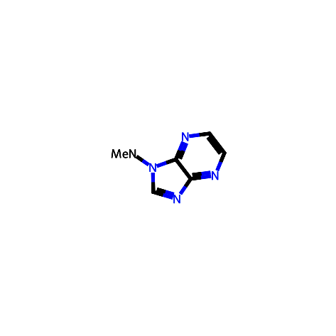 CNn1cnc2nccnc21